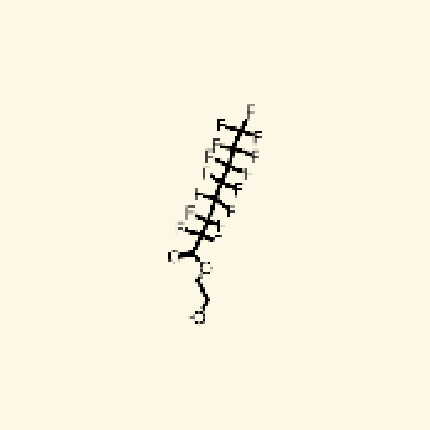 [O]CCOC(=O)C(F)(F)C(F)(F)C(F)(F)C(F)(F)C(F)(F)C(F)(F)C(F)(F)F